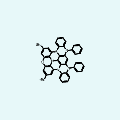 CC(C)(C)c1cc2c3c(c1)B1c4ccccc4N(c4ccccc4)c4cc5c6c(c41)N3c1c(cc(C(C)(C)C)cc1B6c1ccccc1N5c1ccccc1)O2